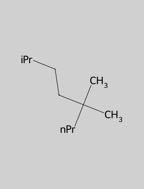 C[CH]CC(C)(C)CCC(C)C